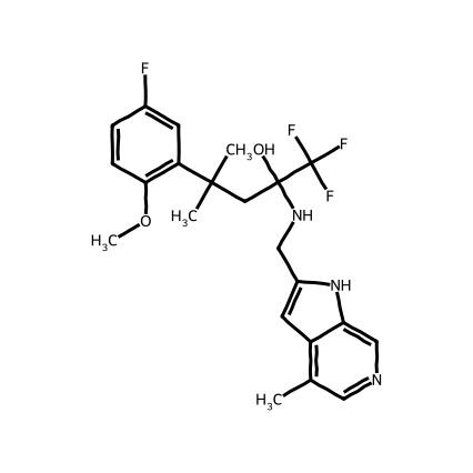 COc1ccc(F)cc1C(C)(C)CC(O)(NCc1cc2c(C)cncc2[nH]1)C(F)(F)F